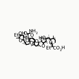 CCC(C(=O)[C@@H](C)[C@@H](O)[C@H](C)[C@@H]1O[C@@H]([C@@H](CC)C(=O)O)CC[C@@H]1C)[C@H]1O[C@]2(C=C[C@@H](NC(=O)C(N)=O)[C@]3(CC[C@@](C)([C@H]4CC[C@](O)(CC)[C@H](C)O4)O3)O2)[C@H](C)C[C@@H]1C